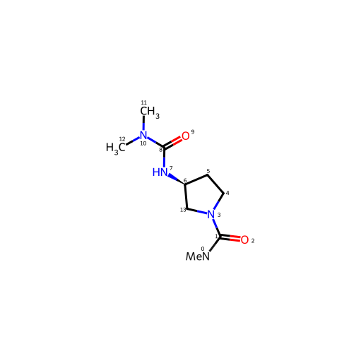 CNC(=O)N1CC[C@H](NC(=O)N(C)C)C1